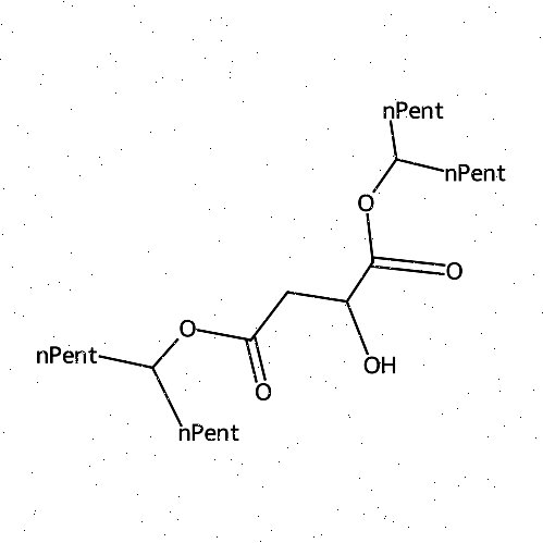 CCCCCC(CCCCC)OC(=O)CC(O)C(=O)OC(CCCCC)CCCCC